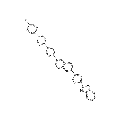 Fc1ccc(-c2ccc(-c3ccc(-c4ccc5cc(-c6ccc(-c7nc8ccccc8o7)cc6)ccc5c4)cc3)cc2)cc1